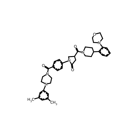 Cc1cc(C)cc(N2CCN(C(=O)c3ccc(N4CC(C(=O)N5CCC(c6ccccc6N6CCOCC6)CC5)CC4=O)cc3)CC2)c1